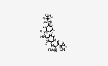 C=C(/C(=N\c1ncnc(N[C@H](C)c2cccc(C(F)(F)C(C)(C)O)c2)c1C)OC)C1(C#N)CC1